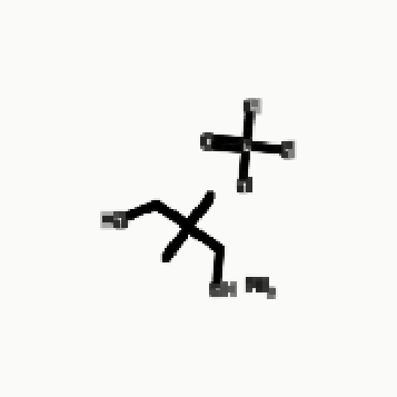 CC(C)(CO)CO.O=P(Cl)(Cl)Cl.P